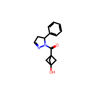 O=C(N1N=CCC1c1ccccc1)C12CC(O)(C1)C2